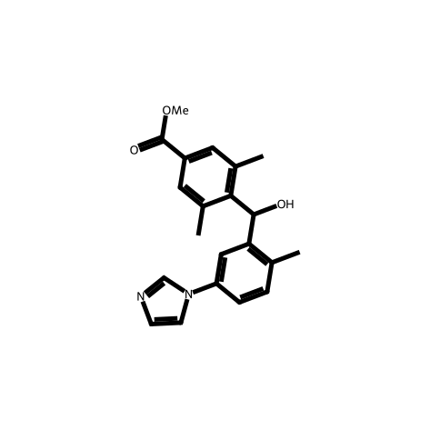 COC(=O)c1cc(C)c(C(O)c2cc(-n3ccnc3)ccc2C)c(C)c1